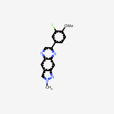 COc1ccc(-c2cnc3cc4cn(C)nc4cc3n2)cc1F